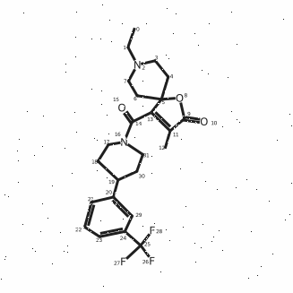 CCN1CCC2(CC1)OC(=O)C(C)=C2C(=O)N1CCC(c2cccc(C(F)(F)F)c2)CC1